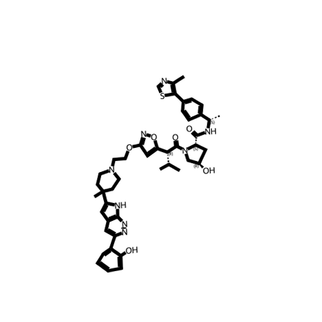 Cc1ncsc1-c1ccc([C@H](C)NC(=O)[C@@H]2C[C@@H](O)CN2C(=O)[C@@H](c2cc(OCCN3CCC(C)(c4cc5cc(-c6ccccc6O)nnc5[nH]4)CC3)no2)C(C)C)cc1